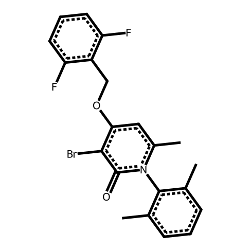 Cc1cccc(C)c1-n1c(C)cc(OCc2c(F)cccc2F)c(Br)c1=O